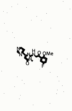 COc1ccc(F)cc1C(=O)CNc1nc(-c2ccncn2)cc(=O)n1C